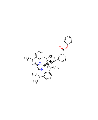 CC(C)c1cccc(C(C)C)c1-n1ccn(-c2c(C(C)C)cccc2C(C)C)[c]1=[Au][C]#Cc1cccc(C(=O)Oc2ccccc2)c1